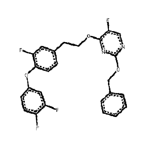 Fc1ccc(Oc2ccc(CCOc3nc(OCc4ccccc4)ncc3F)cc2F)cc1F